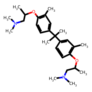 Cc1cc(C(C)(C)c2ccc(OC(C)CN(C)C)c(C)c2)ccc1OC(C)CN(C)C